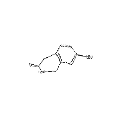 CC(C)(C)c1cc2c(cn1)CC(=O)NC2